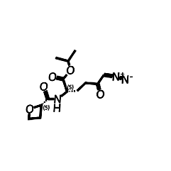 CC(C)OC(=O)[C@H](CCC(=O)C=[N+]=[N-])NC(=O)[C@@H]1CCO1